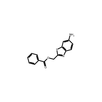 Nc1ccc2nc(COC(=O)c3ccccc3)sc2c1